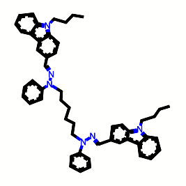 CCCCn1c2ccccc2c2cc(/C=N/N(CCCCCCN(/N=C/c3ccc4c(c3)c3ccccc3n4CCCC)c3ccccc3)c3ccccc3)ccc21